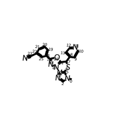 Cn1cnnc1SC(c1ccncc1)c1nnc(-c2cccc(C#N)c2)o1